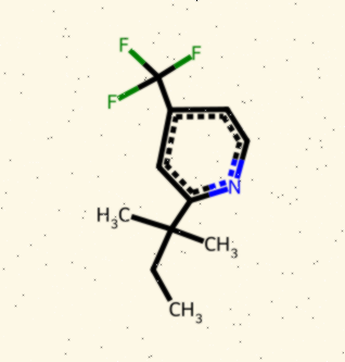 CCC(C)(C)c1cc(C(F)(F)F)ccn1